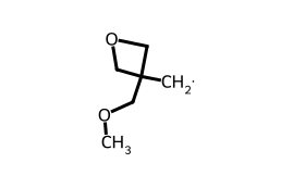 [CH2]C1(COC)COC1